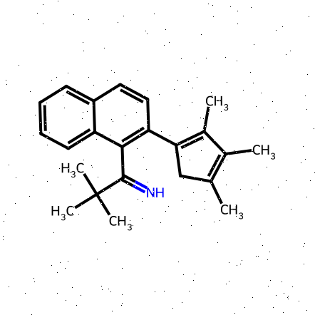 CC1=C(C)C(C)=C(c2ccc3ccccc3c2C(=N)C(C)(C)C)C1